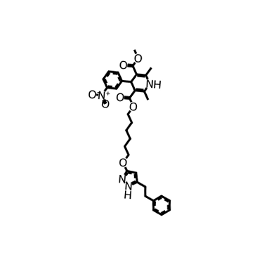 COC(=O)C1=C(C)NC(C)=C(C(=O)OCCCCCCOc2cc(CCc3ccccc3)[nH]n2)C1c1cccc([N+](=O)[O-])c1